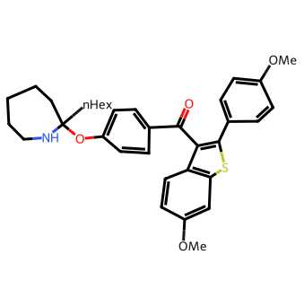 CCCCCCC1(Oc2ccc(C(=O)c3c(-c4ccc(OC)cc4)sc4cc(OC)ccc34)cc2)CCCCCN1